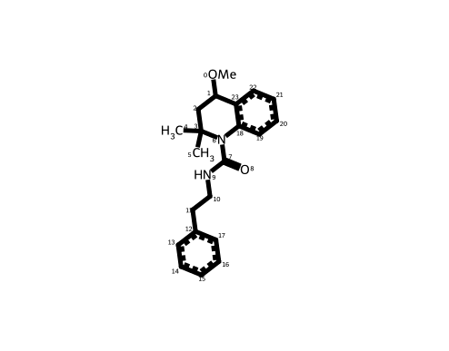 COC1CC(C)(C)N(C(=O)NCCc2ccccc2)c2ccccc21